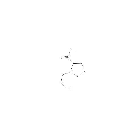 C[C@@H](O)CN1CC[CH]C1C(N)=O